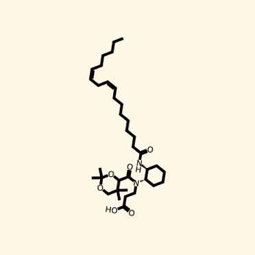 CCCCC/C=C\C/C=C\CCCCCCCC(=O)N[C@H]1CCCC[C@@H]1N(CCC(=O)O)C(=O)C1OC(C)(C)OCC1(C)C